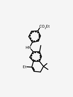 CCOC(=O)c1ccc(Nc2cc3c(cc2C)C(C)(C)CC=C3CC)cc1